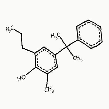 CCCc1cc(C(C)(C)c2ccccc2)cc(C)c1O